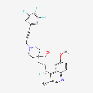 COc1ccc2ncc(C)c([C@H](F)CCC3(CO)CCN(CC#Cc4cc(F)c(F)c(F)c4)CC3)c2c1